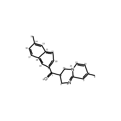 CC1=CC2=NCC(C(=O)c3ccc4cc(C)ccc4c3)CN2C=C1